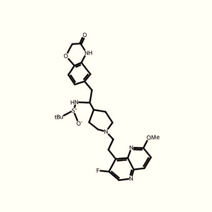 COc1ccc2ncc(F)c(CCN3CCC(C(Cc4ccc5c(c4)NC(=O)CO5)N[S+]([O-])C(C)(C)C)CC3)c2n1